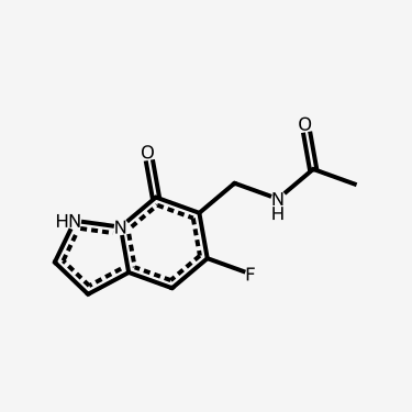 CC(=O)NCc1c(F)cc2cc[nH]n2c1=O